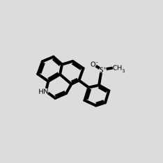 C[S+]([O-])c1ccccc1-c1ccc2cccc3c2c1C=CN3